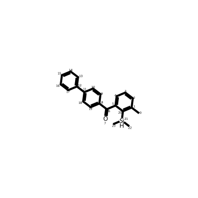 Cc1cccc(C(=O)c2ccc(-c3ccccc3)cc2)c1[SiH](C)C